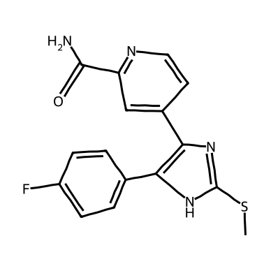 CSc1nc(-c2ccnc(C(N)=O)c2)c(-c2ccc(F)cc2)[nH]1